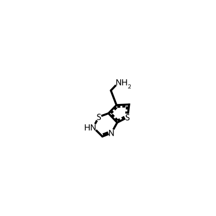 NCc1csc2c1SNC=N2